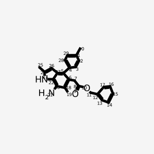 Cc1ccc(-c2c(CC(=O)OCc3ccccc3)c(C)c(N)c3[nH]c(C)cc23)cc1